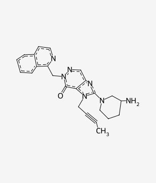 CC#CCn1c(N2CCCC(N)C2)nc2cnn(Cc3nccc4ccccc34)c(=O)c21